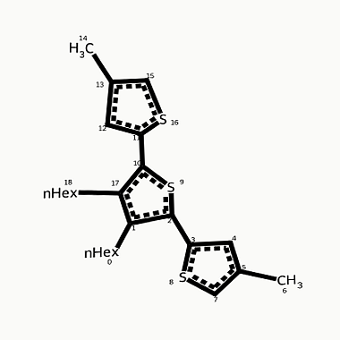 CCCCCCc1c(-c2cc(C)cs2)sc(-c2cc(C)cs2)c1CCCCCC